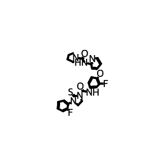 O=C(Nc1cc(Oc2ccc(NC(=O)N3CCN(c4ccccc4F)C3=S)cc2F)ccn1)N1CCCC1